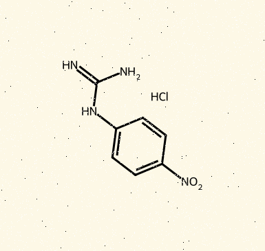 Cl.N=C(N)Nc1ccc([N+](=O)[O-])cc1